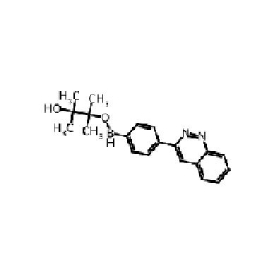 CC(C)(O)C(C)(C)OBc1ccc(-c2cc3ccccc3nn2)cc1